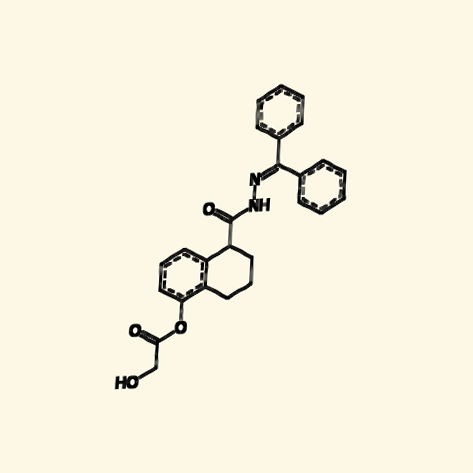 O=C(CO)Oc1cccc2c1CCCC2C(=O)NN=C(c1ccccc1)c1ccccc1